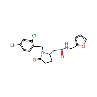 O=C(CC1CCC(=O)N1Cc1ccc(Cl)cc1Cl)NCc1ccco1